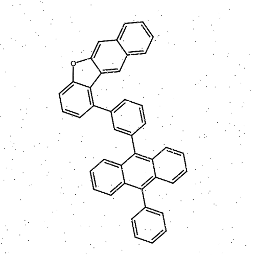 c1ccc(-c2c3ccccc3c(-c3cccc(-c4cccc5oc6cc7ccccc7cc6c45)c3)c3ccccc23)cc1